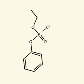 CCO[P@](=O)(Cl)Oc1ccccc1